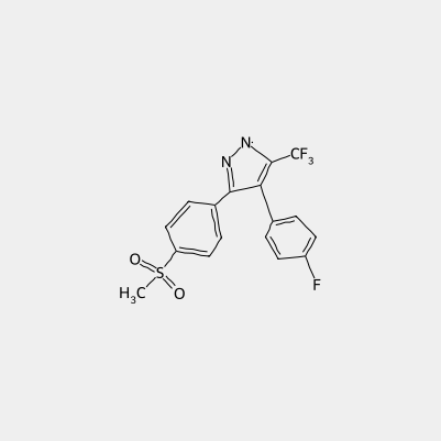 CS(=O)(=O)c1ccc(C2=N[N]C(C(F)(F)F)=C2c2ccc(F)cc2)cc1